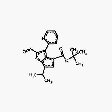 CC(C)c1cn(C(=O)OC(C)(C)C)c2c(-c3ccccn3)c(C=O)sc12